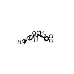 CC(C#Cc1ccc(Cl)c(Cl)c1)NC(=O)N1CCN(C2CNC2)CC1